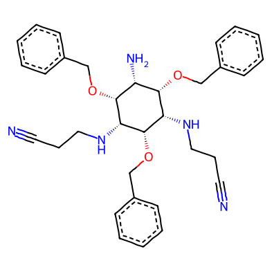 N#CCCN[C@@H]1[C@H](OCc2ccccc2)[C@H](NCCC#N)[C@H](OCc2ccccc2)[C@H](N)[C@@H]1OCc1ccccc1